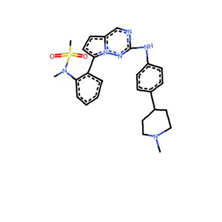 CN1CCC(c2ccc(Nc3ncc4ccc(-c5ccccc5N(C)S(C)(=O)=O)n4n3)cc2)CC1